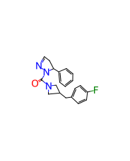 O=C(N1CC(Cc2ccc(F)cc2)C1)N1N=CCC1c1ccccc1